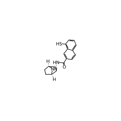 O=C(N[C@@H]1C[C@H]2CC[C@@H]1N2)c1ccc2cccc(S)c2c1